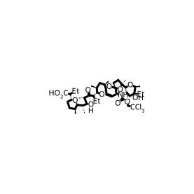 CCC(C(=O)[C@@H](C)[C@@H](O)[C@H](C)[C@@H]1O[C@@H](C(CC)C(=O)O)CC[C@@H]1C)[C@H]1O[C@]2(C=CC(NC(=O)OCC(Cl)(Cl)Cl)[C@]3(CC[C@@](C)([C@H]4CC[C@](O)(CC)[C@H](C)O4)O3)O2)[C@H](C)C[C@@H]1C